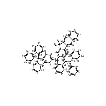 CC1(C)c2cc(N(c3ccc4c(c3)-c3ccccc3C4(c3ccccc3)c3ccccc3)c3ccccc3-c3ccc4ccccc4c3-c3ccccc3)ccc2-c2cc3ccccc3cc21